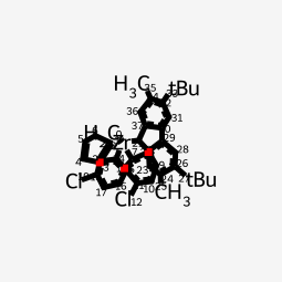 [CH2]=[Zr]([C]1=CC=CC1)([c]1cccc(Cl)c1)([c]1cccc(Cl)c1)[CH]1c2cc(C)c(C(C)(C)C)cc2-c2cc(C(C)(C)C)c(C)cc21